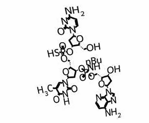 CCCCNP(=O)(OC[C@H]1O[C@@H](n2cnc3c(N)ccnc32)C[C@H]1O)O[C@@H]1C[C@H](n2cc(C)c(=O)[nH]c2=O)O[C@@H]1COP(=O)(S)O[C@@H]1C[C@H](n2ccc(N)nc2=O)O[C@@H]1CO